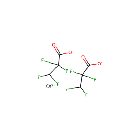 O=C([O-])C(F)(F)C(F)F.O=C([O-])C(F)(F)C(F)F.[Ca+2]